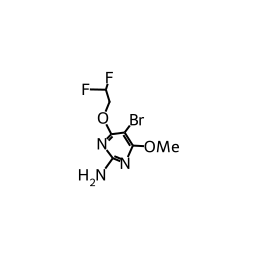 COc1nc(N)nc(OCC(F)F)c1Br